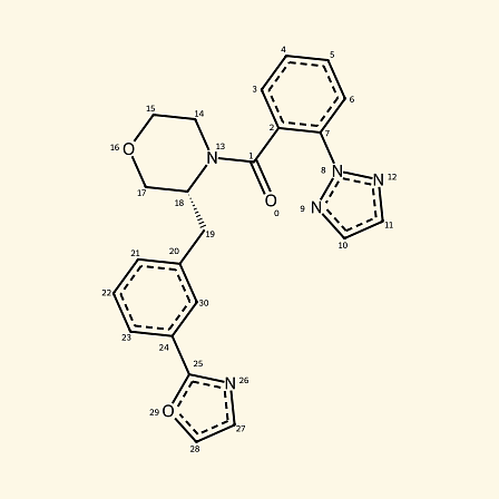 O=C(c1ccccc1-n1nccn1)N1CCOC[C@H]1Cc1cccc(-c2ncco2)c1